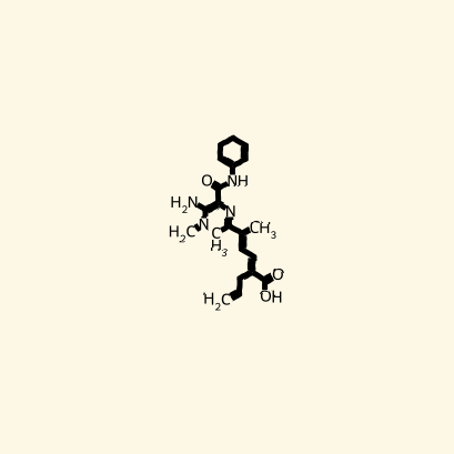 C=CC\C(=C/C=C(C)/C(C)=N/C(C(=O)NC1=CCCC=C1)=C(/N)N=C)C(=O)O